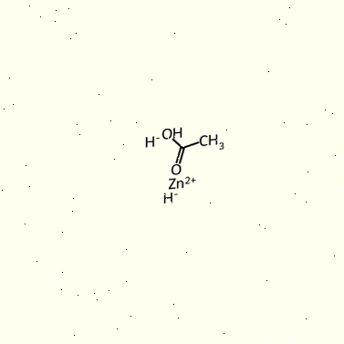 CC(=O)O.[H-].[H-].[Zn+2]